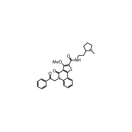 COc1c(C(=O)NCCC2CCCN2C)sc2c1c(=O)n(CC(=O)c1ccccc1)c1ccccc21